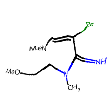 CN/C=C(/Br)C(=N)N(C)CCOC